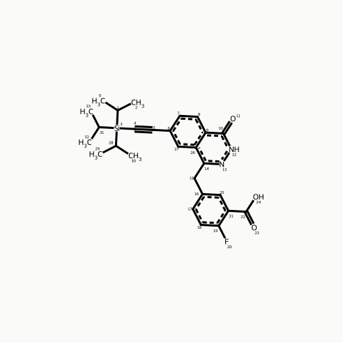 CC(C)[Si](C#Cc1ccc2c(=O)[nH]nc(Cc3ccc(F)c(C(=O)O)c3)c2c1)(C(C)C)C(C)C